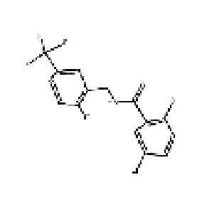 O=C(NCc1cc(C(F)(F)F)ccc1Cl)c1cc(Cl)ccc1O